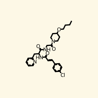 CCCCOC1CCN(C(=O)CNC(=O)C(Cc2ccccn2)NC(=O)/C=C/c2ccc(Cl)cc2)CC1